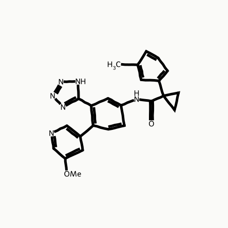 COc1cncc(-c2ccc(NC(=O)C3(c4cccc(C)c4)CC3)cc2-c2nnn[nH]2)c1